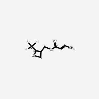 CC=CC(=O)OCC1COC1C(F)(F)F